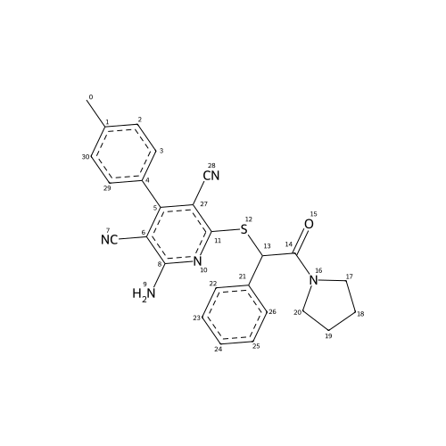 Cc1ccc(-c2c(C#N)c(N)nc(SC(C(=O)N3CCCC3)c3ccccc3)c2C#N)cc1